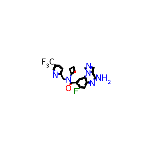 Nc1nc2cc(F)c(C(=O)N(Cc3ccc(C(F)(F)F)cn3)C34CC(C3)C4)cc2n2cncc12